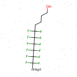 CCCCCCCC(F)(F)C(F)(F)C(F)(F)C(F)(F)C(F)(F)C(F)(F)CCCCO